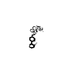 CC(C)NC(=O)C[S+]([O-])CCc1ccc(-c2ccccc2F)cc1